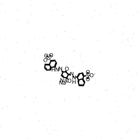 O=c1ccc(=NNc2ccc(S(=O)(=O)[O-])c3ccccc23)c(=O)c1=NNc1ccc(S(=O)(=O)[O-])c2ccccc12.[Na+].[Na+]